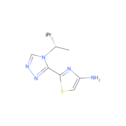 CC(C)[C@H](C)n1cnnc1-c1nc(N)cs1